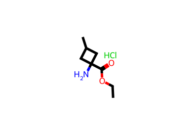 CCOC(=O)C1(N)CC(C)C1.Cl